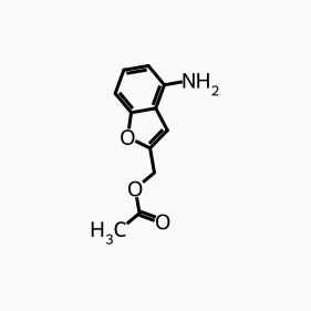 CC(=O)OCc1cc2c(N)cccc2o1